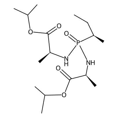 CC[C@@H](C)P(=O)(N[C@@H](C)C(=O)OC(C)C)N[C@@H](C)C(=O)OC(C)C